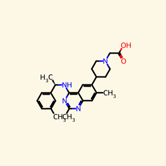 Cc1cccc([C@@H](C)Nc2nc(C)nc3cc(C)c(C4CCN(CC(=O)O)CC4)cc23)c1